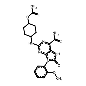 COc1ccccc1-n1c(=O)[nH]c2c(C(N)=O)nc(NC3CCC(OC(N)=O)CC3)nc21